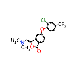 CN(C)C=C1OC(=O)c2ccc(Oc3ccc(C(F)(F)F)cc3Cl)cc21